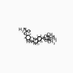 CC1(C)OB(c2ccc3nc(NC4CCC(OC(N)=O)CC4)ncc3c2)OC1(C)C